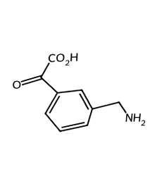 NCc1cccc(C(=O)C(=O)O)c1